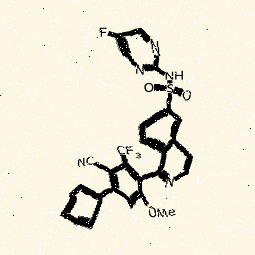 COc1cc(-c2ccccc2)c(C#N)c(C(F)(F)F)c1-c1nccc2cc(S(=O)(=O)Nc3ncc(F)cn3)ccc12